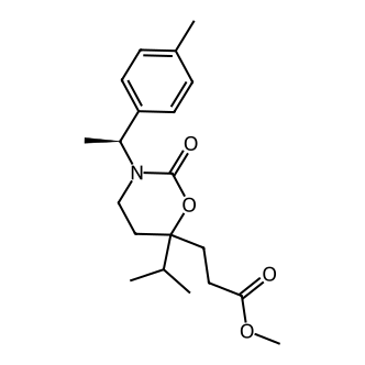 COC(=O)CCC1(C(C)C)CCN([C@@H](C)c2ccc(C)cc2)C(=O)O1